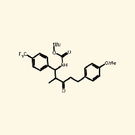 COc1ccc(CCC(=O)C(C)C(NC(=O)OC(C)(C)C)c2ccc(C(F)(F)F)cc2)cc1